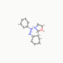 c1ccc(/N=N/c2ccccc2-c2ncco2)cc1